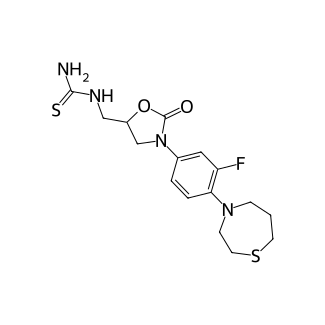 NC(=S)NCC1CN(c2ccc(N3CCCSCC3)c(F)c2)C(=O)O1